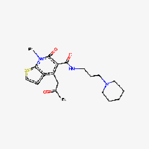 CC(C)n1c(=O)c(C(=O)NCCCN2CCCCC2)c(CC(=O)C(C)(C)C)c2ccsc21